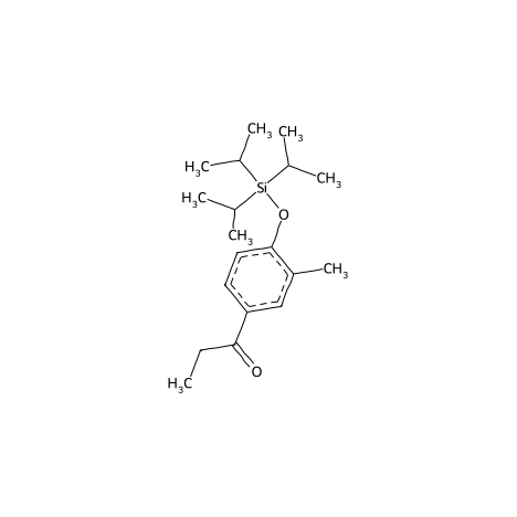 CCC(=O)c1ccc(O[Si](C(C)C)(C(C)C)C(C)C)c(C)c1